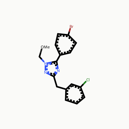 COCn1nc(Cc2cccc(Cl)c2)nc1-c1ccc(Br)cc1